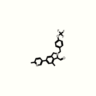 Cc1ccc(-c2cc(C)c3c(c2)CN(Cc2ccc(OC(F)(F)F)cc2)C3C=O)cn1